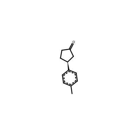 Cc1ccc([C@H]2CCC(=O)C2)cc1